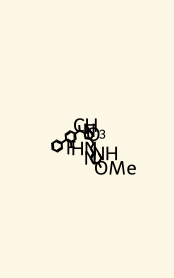 COC1CN=C(NCc2cc(C(C)c3ccc(-c4ccccc4)c(F)c3)no2)NC1